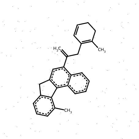 C=C(CC1=C(C)CCC=C1)c1cc2c(c3ccccc13)-c1c(C)cccc1C2